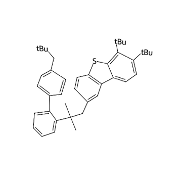 CC(C)(C)Cc1ccc(-c2ccccc2C(C)(C)Cc2ccc3sc4c(C(C)(C)C)c(C(C)(C)C)ccc4c3c2)cc1